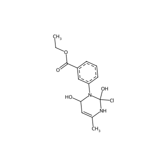 CCOC(=O)c1cccc(N2C(O)C=C(C)NC2(O)Cl)c1